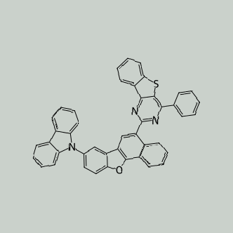 c1ccc(-c2nc(-c3cc4c5cc(-n6c7ccccc7c7ccccc76)ccc5oc4c4ccccc34)nc3c2sc2ccccc23)cc1